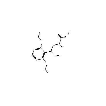 CCOc1cccc(OCC)c1C(CC)CC(N)C(=O)OC